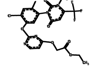 CCOC(=O)COc1ccnc(Oc2cc(-n3c(=O)cc(C(F)(F)F)n(C)c3=O)c(F)cc2Cl)n1